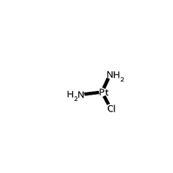 [NH2][Pt]([NH2])[Cl]